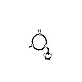 CN1CCCNCCCN(Cc2ncco2)CCC1